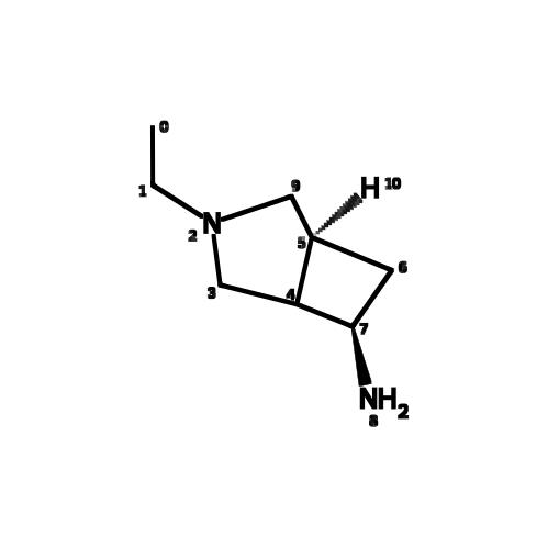 CCN1CC2[C@H](C[C@H]2N)C1